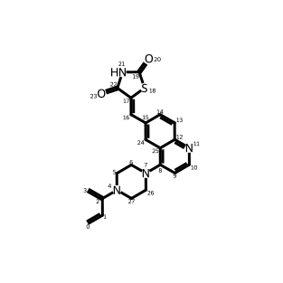 C=CC(=C)N1CCN(c2ccnc3ccc(/C=C4\SC(=O)NC4=O)cc23)CC1